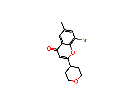 Cc1cc(Br)c2oc(C3CCOCC3)cc(=O)c2c1